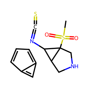 CS(=O)(=O)C12CNCC1C2N=C=S.c1cc2cc-2c1